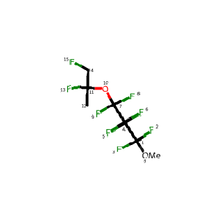 COC(F)(F)C(F)(F)C(F)(F)OC(C)(F)CF